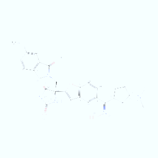 COc1ccc2c(c1)C(=O)N(C[C@@]1(c3cc4cc(/C(=N\O)C5CC[C@H](N(C)C)C5)ccc4o3)NC(=O)NC1=O)C2